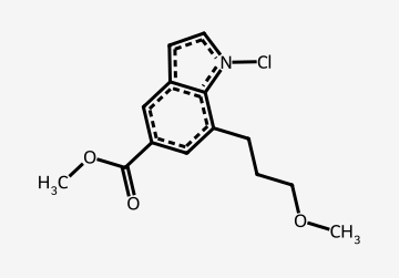 COCCCc1cc(C(=O)OC)cc2ccn(Cl)c12